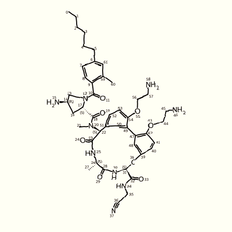 CCCCCCc1ccc(C(=O)N2C[C@H](N)C[C@H]2C(=O)N(C)[C@@H]2C(=O)N[C@@H](C)C(=O)N[C@H](C(=O)NCC#N)Cc3ccc(OCCN)c(c3)-c3cc2ccc3OCCN)c(C)c1